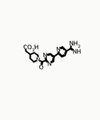 N=C(N)c1ccc(-c2cnc(C(=O)N3CCC(CC(=O)O)CC3)nc2)nc1